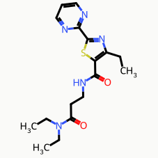 CCc1nc(-c2ncccn2)sc1C(=O)NCCC(=O)N(CC)CC